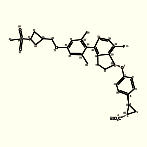 CCOC(=O)[C@H]1C[C@@H]1c1ccc(O[C@@H]2CCc3c(-c4c(C)cc(OCC5CN(S(C)(=O)=O)C5)cc4C)ccc(F)c32)cc1